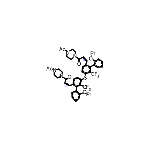 CCOc1ccccc1-c1c(/C=C\C(=O)N2CCN(C(C)=O)CC2)ccc(Sc2ccc(/C=C\C(=O)N3CCN(C(C)=O)CC3)c(-c3ccccc3OCC)c2C(F)(F)F)c1C(F)(F)F